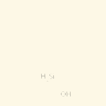 CC=CC[SiH2]O